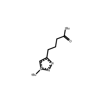 CC(C)(C)C(=O)CCCc1cn(C(C)(C)C)nn1